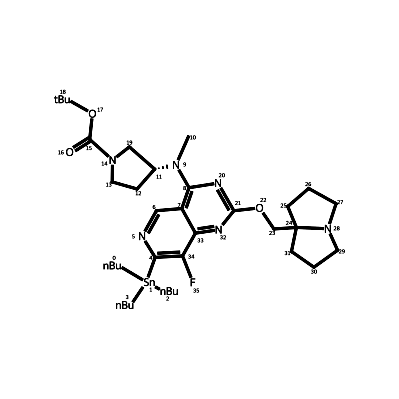 CCC[CH2][Sn]([CH2]CCC)([CH2]CCC)[c]1ncc2c(N(C)[C@@H]3CCN(C(=O)OC(C)(C)C)C3)nc(OCC34CCCN3CCC4)nc2c1F